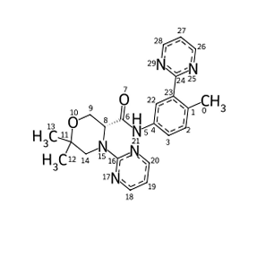 Cc1ccc(NC(=O)[C@H]2COC(C)(C)CN2c2ncccn2)cc1-c1ncccn1